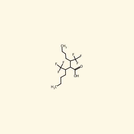 CCCCC(C(C(=O)O)C(CCCC)C(F)(F)F)C(F)(F)F